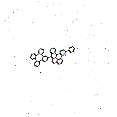 c1ccc(-c2ccc(-c3c4ccccc4c(-c4ccc5c(c4)-c4ccccc4-c4ccccc4-c4ccccc4-5)c4ccccc34)c(-c3ccccc3)n2)cc1